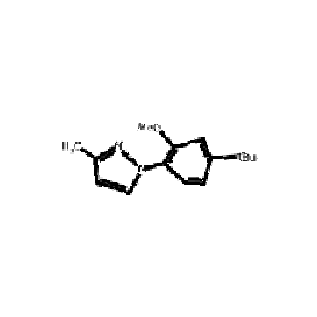 COc1cc(C(C)(C)C)ccc1-n1ccc(C)n1